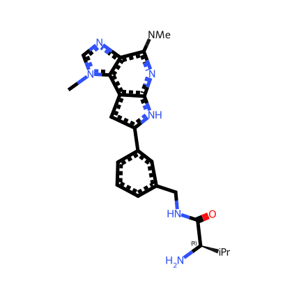 CNc1nc2[nH]c(-c3cccc(CNC(=O)[C@H](N)C(C)C)c3)cc2c2c1ncn2C